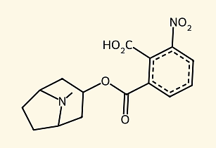 CN1C2CCC1CC(OC(=O)c1cccc([N+](=O)[O-])c1C(=O)O)C2